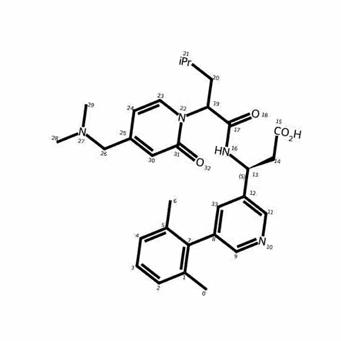 Cc1cccc(C)c1-c1cncc([C@H](CC(=O)O)NC(=O)C(CC(C)C)n2ccc(CN(C)C)cc2=O)c1